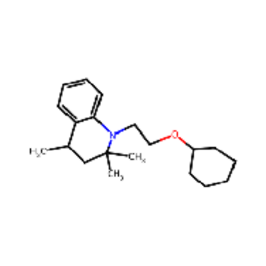 CC1CC(C)(C)N(CCOC2CCCCC2)c2ccccc21